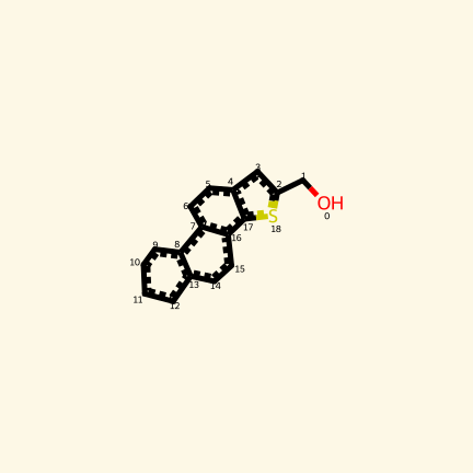 OCc1cc2ccc3c4ccccc4ccc3c2s1